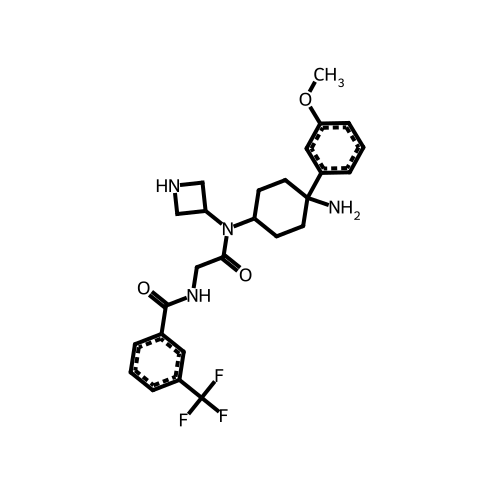 COc1cccc(C2(N)CCC(N(C(=O)CNC(=O)c3cccc(C(F)(F)F)c3)C3CNC3)CC2)c1